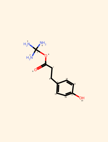 NC(N)(N)OC(=O)CCc1ccc(O)cc1